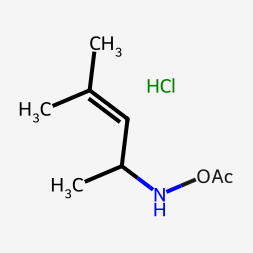 CC(=O)ONC(C)C=C(C)C.Cl